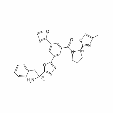 Cc1coc([C@H]2CCCN2C(=O)c2cc(-c3ncco3)cc(-c3nnc([C@@](C)(N)Cc4ccccc4)o3)c2)n1